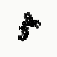 COc1ccc2[nH]c(C(=O)N[C@@H](Cc3ccccc3)C(=O)N(C)C)cc2n1